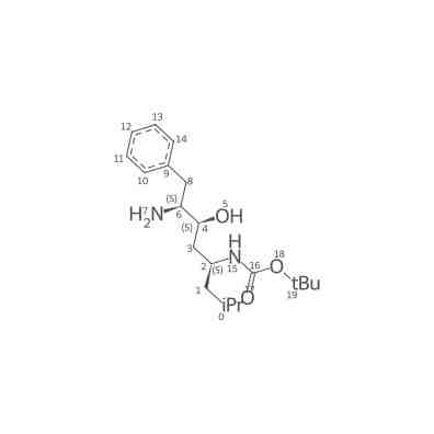 CC(C)C[C@@H](C[C@H](O)[C@@H](N)Cc1ccccc1)NC(=O)OC(C)(C)C